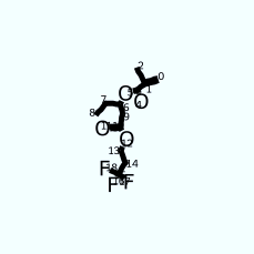 C=C(C)C(=O)OC(CC)CC(=O)OCCC(F)(F)F